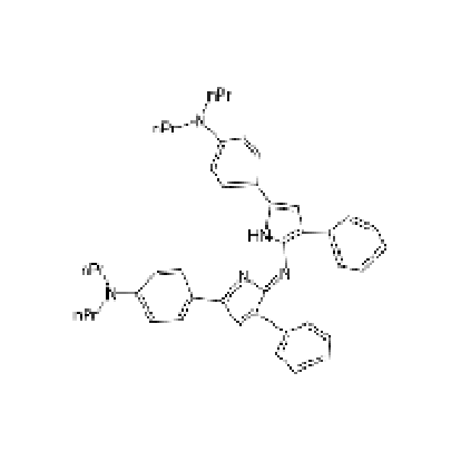 CCCN(CCC)c1ccc(C2=N/C(=N\c3[nH]c(-c4ccc(N(CCC)CCC)cc4)cc3-c3ccccc3)C(c3ccccc3)=C2)cc1